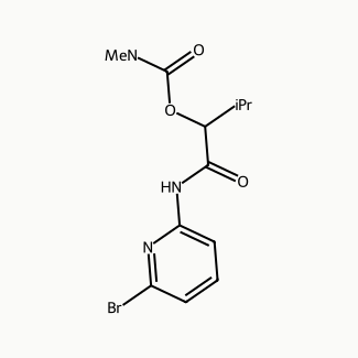 CNC(=O)OC(C(=O)Nc1cccc(Br)n1)C(C)C